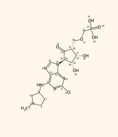 CN1CCC(Nc2nc(Cl)nc3c2ncn3[C@H]2C(=O)[C@H](COCP(=O)(O)O)[C@H](O)[C@@H]2O)C1